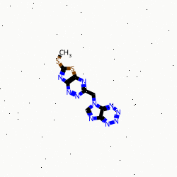 CSc1nc2nnc(Cn3cnc4nnnnc43)nc2s1